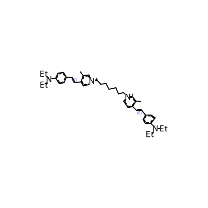 CCN(CC)c1ccc(/C=C/c2cc[n+](CCCCCCC[n+]3ccc(/C=C/c4ccc(N(CC)CC)cc4)c(C)c3)cc2C)cc1